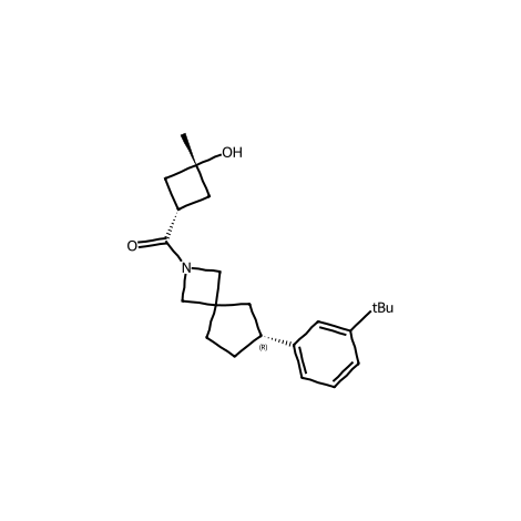 CC(C)(C)c1cccc([C@@H]2CCC3(C2)CN(C(=O)[C@H]2C[C@@](C)(O)C2)C3)c1